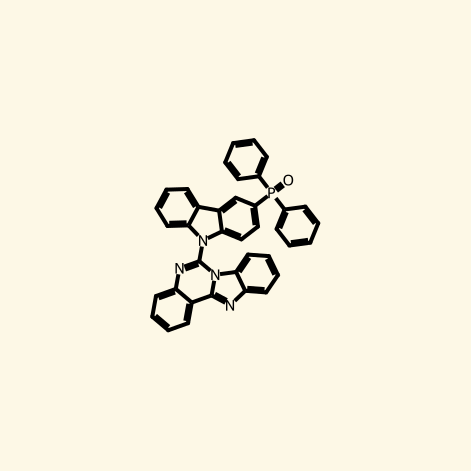 O=P(c1ccccc1)(c1ccccc1)c1ccc2c(c1)c1ccccc1n2-c1nc2ccccc2c2nc3ccccc3n12